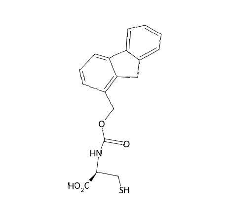 O=C(N[C@@H](CS)C(=O)O)OCc1cccc2c1Cc1ccccc1-2